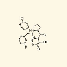 O=C1c2c(O)c(=O)cnn2[C@@H]([C@@H](c2ccc(Cl)cc2)c2cccc(F)c2)[C@H]2CCCN12